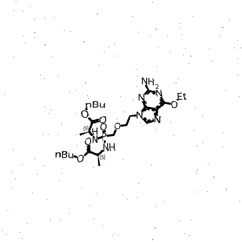 CCCCOC(=O)[C@H](C)NP(=O)(COCCn1cnc2c(OCC)nc(N)nc21)N[C@@H](C)C(=O)OCCCC